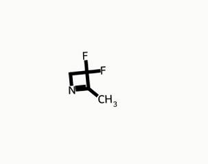 CC1=NCC1(F)F